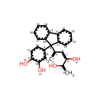 C=C(O)/C(O)=C\C(=C)C1(c2ccc(O)c(O)c2)c2ccccc2-c2ccccc21